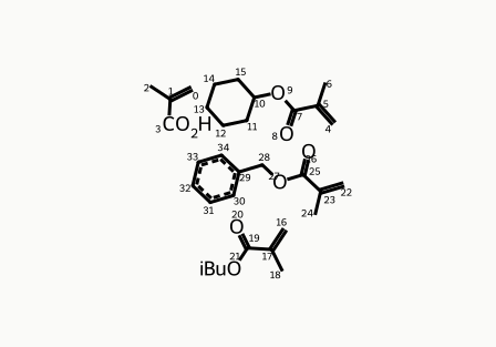 C=C(C)C(=O)O.C=C(C)C(=O)OC1CCCCC1.C=C(C)C(=O)OCC(C)C.C=C(C)C(=O)OCc1ccccc1